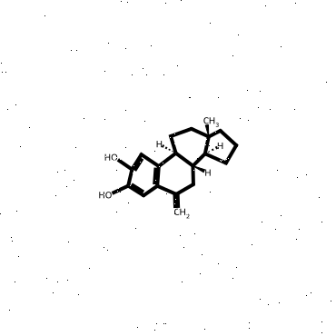 C=C1C[C@@H]2[C@H](CC[C@]3(C)CCC[C@@H]23)c2cc(O)c(O)cc21